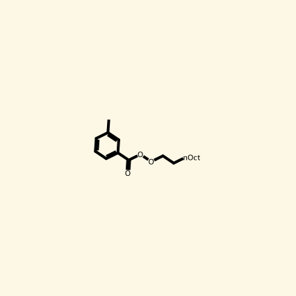 [CH2]CCCCCCCCCOOC(=O)c1cccc(C)c1